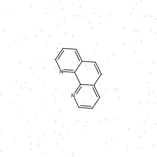 [c]1ccc2c[c]c3cccnc3c2n1